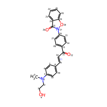 CN(CCO)c1ccc(/C=C/C(=O)c2ccc(-n3oc4ccccc4c3=O)cc2)cc1